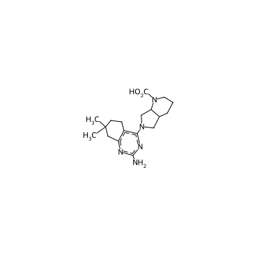 CC1(C)CCc2c(nc(N)nc2N2CC3CCCN(C(=O)O)C3C2)C1